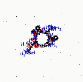 CC(=O)N[C@@H](CCCNC(=N)N)C(=O)N[C@H]1CC(=O)NCCCC[C@@H](C(N)=O)NC(=O)[C@H](Cc2c[nH]c3ccccc23)NC(=O)C(CCCNC(=N)N)NC(=O)[C@](C)(Cc2ccccc2)NC(=O)[C@H](Cc2c[nH]cn2)NC1=O